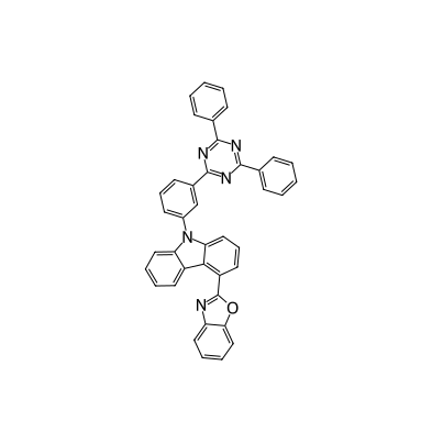 c1ccc(-c2nc(-c3ccccc3)nc(-c3cccc(-n4c5ccccc5c5c(-c6nc7ccccc7o6)cccc54)c3)n2)cc1